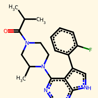 CC(C)C(=O)N1CCN(c2ncnc3[nH]cc(-c4ccccc4F)c23)C(C)C1